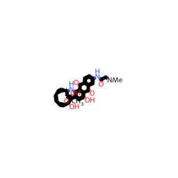 CNCC(=O)Nc1ccc2c(c1)C(=O)c1c(O)cc3c(c1C2=O)N[C@H]1C#C/C=C\C#C[C@@H](O)[C@@]32O[C@@]12[C@@H](C)O